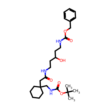 CC(C)(C)OC(=O)NCC1(CC(=O)NCCC(O)CCNC(=O)OCc2ccccc2)CCCCC1